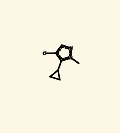 Cn1n[c]c(Cl)c1C1CC1